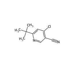 CC(C)(C)c1cc(Cl)c(C#N)cn1